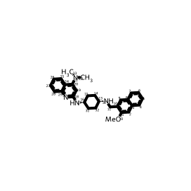 COc1cc2ccccc2cc1CN[C@H]1CC[C@@H](Nc2cc(N(C)C)c3ccccc3n2)CC1